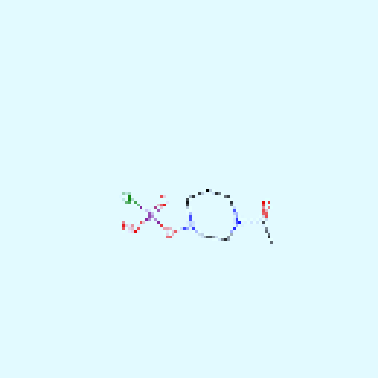 CC(=O)N1CCCN(OP(=O)(O)Cl)CC1